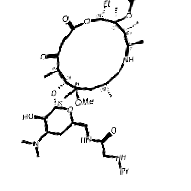 CC[C@H]1OC(=O)CC(=O)[C@H](C)[C@@H](O[C@@H]2OC(CNC(=O)CNC(C)C)CC(N(C)C)C2O)[C@](C)(OC)C[C@@H](C)CN[C@H](C)[C@@H](C)[C@]1(C)OC(N)=O